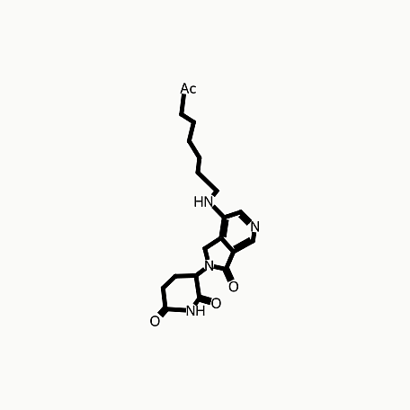 CC(=O)CCCCCCNc1cncc2c1CN(C1CCC(=O)NC1=O)C2=O